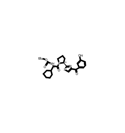 CC(C)(C)OC(=O)N[C@H](C(=O)N1CCC[C@H]1c1nc(C(=O)c2cccc(O)c2)cs1)C1CCCCC1